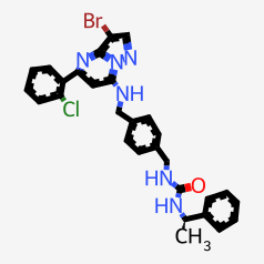 C[C@H](NC(=O)NCc1ccc(CNc2cc(-c3ccccc3Cl)nc3c(Br)cnn23)cc1)c1ccccc1